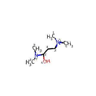 CN(C)CCC(O)N(C)C